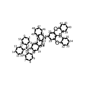 c1ccc([Si](c2ccccc2)(c2ccccc2)c2ccc3nc4n(-c5cc6c7c(c5)Oc5ccccc5B7c5ccccc5O6)c5ccccc5n4c3c2)cc1